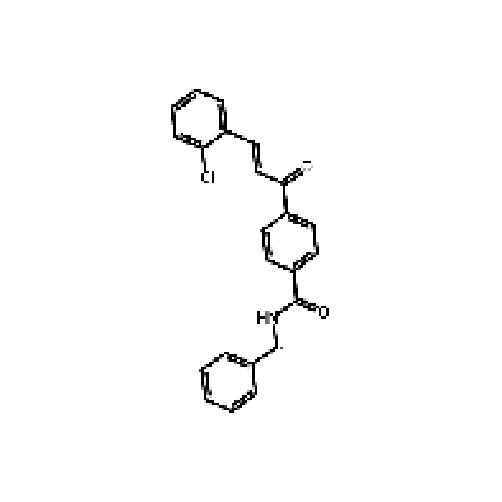 O=C(C=Cc1ccccc1Cl)c1ccc(C(=O)N[CH]c2ccccc2)cc1